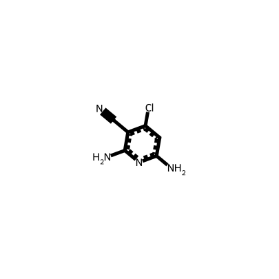 N#Cc1c(Cl)cc(N)nc1N